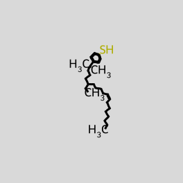 CCCCCCC/C=C\CCCCC(CC)CCCC(C)(C)c1ccc(S)cc1